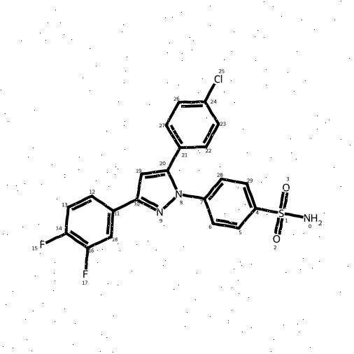 NS(=O)(=O)c1ccc(-n2nc(-c3ccc(F)c(F)c3)cc2-c2ccc(Cl)cc2)cc1